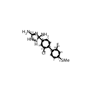 CSc1ccc(-c2ccc(C3(N)N=C(N)NN3)cc2Cl)c(F)c1